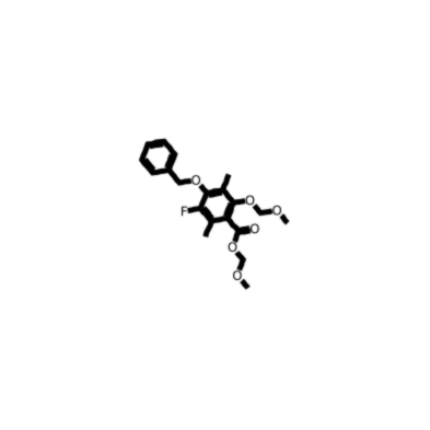 COCOC(=O)c1c(C)c(F)c(OCc2ccccc2)c(C)c1OCOC